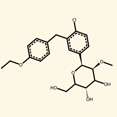 CCOc1ccc(Cc2cc([C@@H]3OC(CO)[C@@H](O)C(O)[C@@H]3OC)ccc2Cl)cc1